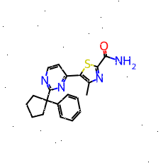 Cc1nc(C(N)=O)sc1-c1ccnc(C2(c3ccccc3)CCCC2)n1